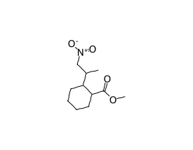 COC(=O)C1CCCCC1C(C)C[N+](=O)[O-]